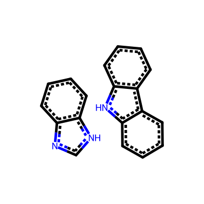 c1ccc2[nH]cnc2c1.c1ccc2c(c1)[nH]c1ccccc12